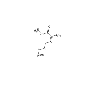 CCCCCCCCCC=C(C)C(=O)O[SiH3]